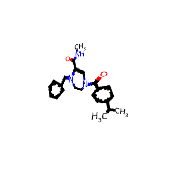 CNC(=O)C1CN(C(=O)c2ccc(C(C)C)cc2)CCN1Cc1ccccc1